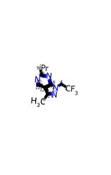 Cc1nn(CC(F)(F)F)c2nc(C(C)C)ncc12